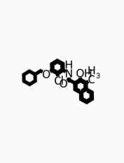 Cc1c(O)c(C(=O)Nc2cccc(OCC3CCCCC3)c2Cl)cc2ccccc12